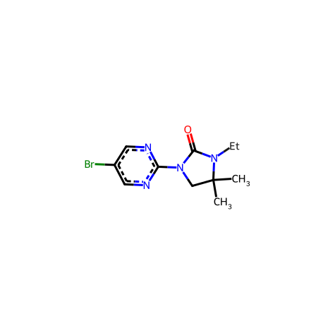 CCN1C(=O)N(c2ncc(Br)cn2)CC1(C)C